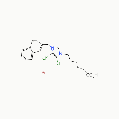 O=C(O)CCCCCn1c[n+](Cc2ccc3ccccc3c2)c(Cl)c1Cl.[Br-]